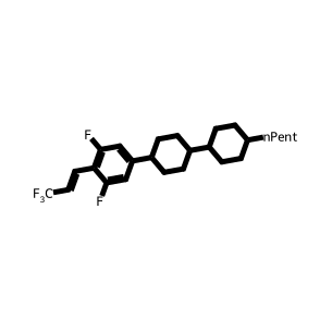 CCCCCC1CCC(C2CCC(c3cc(F)c(/C=C/C(F)(F)F)c(F)c3)CC2)CC1